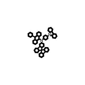 c1ccc(-c2c3ccccc3c(N(c3ccc(-n4c5ccccc5c5ccccc54)cc3)c3ccc4c(c3)-c3ccccc3C43c4ccccc4-c4ccccc43)c3ccccc23)cc1